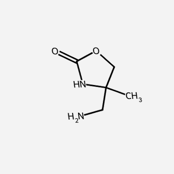 CC1(CN)COC(=O)N1